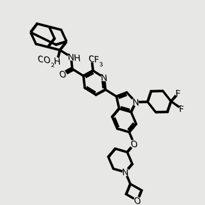 O=C(NC1(C(=O)O)C2CC3CC(C2)CC1C3)c1ccc(-c2cn(C3CCC(F)(F)CC3)c3cc(OC4CCCN(C5COC5)C4)ccc23)nc1C(F)(F)F